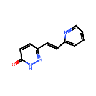 O=c1ccc(C=Cc2ccccn2)n[nH]1